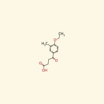 CCOc1ccc(C(=O)CCC(=O)O)cc1C